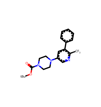 CC(C)(C)OC(=O)N1CCN(c2cnc(C(F)(F)F)c(-c3ccccc3)c2)CC1